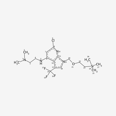 CN(C)CCNc1cc(Cl)nc2c1c(C(F)(F)F)cn2COCC[Si](C)(C)C